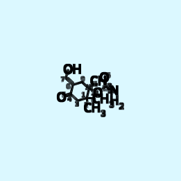 CC1(C)CC(=O)C(=CO)CC1(C)OC(N)=O